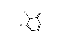 O=C1C=CC=C(Br)C1Br